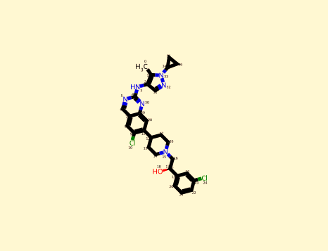 Cc1c(Nc2ncc3cc(Cl)c(C4CCN(C[C@H](O)c5cccc(Cl)c5)CC4)cc3n2)cnn1C1CC1